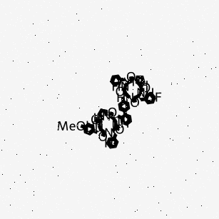 COc1ccc(C[C@@H]2NC(=O)[C@H]3CCCN3C(=O)[C@H](Cc3ccccc3-c3ccc(C[C@H]4NC(=O)[C@H](Cc5ccc(F)cc5)NC(=O)[C@H]5CCCN5C(=O)[C@H](Cc5ccccc5)NC4=O)cc3)NC(=O)[C@@H](Cc3ccccc3)NC2=O)cc1